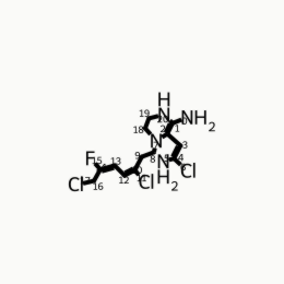 NC1=C(/C=C(\N)Cl)N(CC/C(Cl)=C\C=C(\F)CCl)CCN1